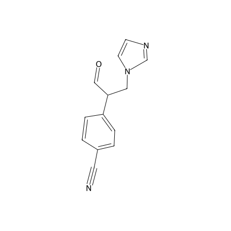 N#Cc1ccc(C(C=O)Cn2ccnc2)cc1